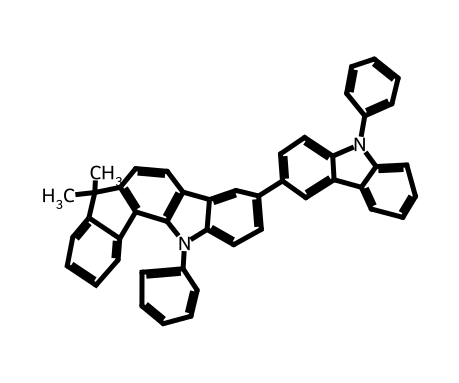 CC1(C)c2ccccc2-c2c1ccc1c3cc(-c4ccc5c(c4)c4ccccc4n5-c4ccccc4)ccc3n(-c3ccccc3)c21